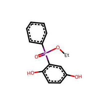 CCOP(=O)(c1ccccc1)c1cc(O)ccc1O